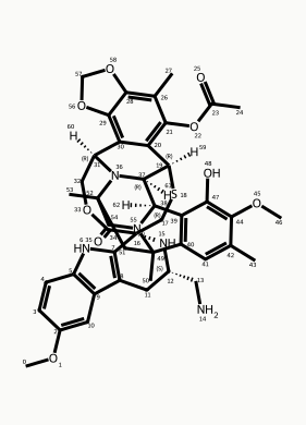 COc1ccc2[nH]c3c(c2c1)C[C@@H](CN)N[C@]31CS[C@@H]2c3c(OC(C)=O)c(C)c4c(c3[C@H](COC1=O)N1[C@@H]2[C@H]2c3c(cc(C)c(OC)c3O)C3(C)CC1(C)CN23)OCO4